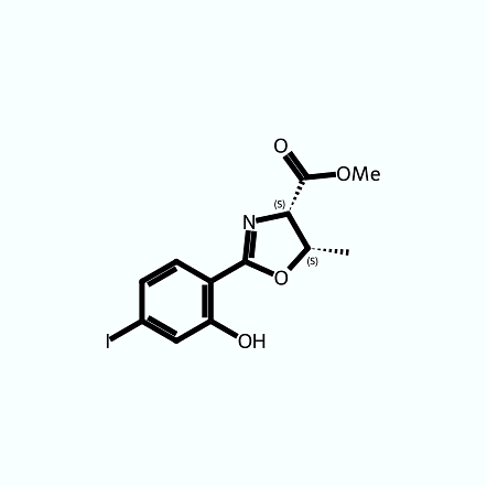 COC(=O)[C@H]1N=C(c2ccc(I)cc2O)O[C@H]1C